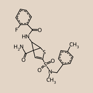 Cc1ccc(CN(C)S(=O)(=O)C2=CC3(C(N)=O)C(NC(=O)c4ccccc4F)C3S2)cc1